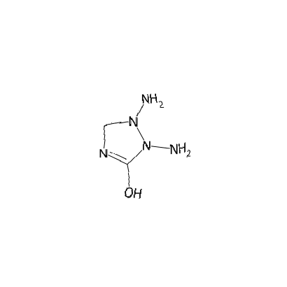 NN1CN=C(O)N1N